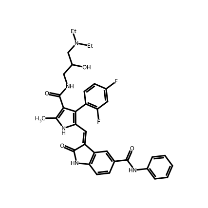 CCN(CC)CC(O)CNC(=O)c1c(C)[nH]c(C=C2C(=O)Nc3ccc(C(=O)Nc4ccccc4)cc32)c1-c1ccc(F)cc1F